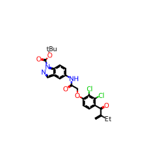 C=C(CC)C(=O)c1ccc(OCC(=O)Nc2ccc3c(cnn3C(=O)OC(C)(C)C)c2)c(Cl)c1Cl